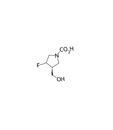 O=C(O)N1CC(F)[C@H](CO)C1